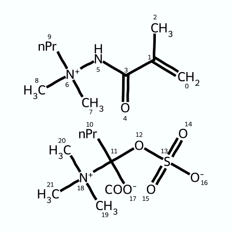 C=C(C)C(=O)N[N+](C)(C)CCC.CCCC(OS(=O)(=O)[O-])(C(=O)[O-])[N+](C)(C)C